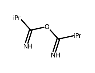 CC(C)C(=N)OC(=N)C(C)C